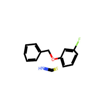 Fc1cccc(OCc2ccccc2)c1.N=C=S